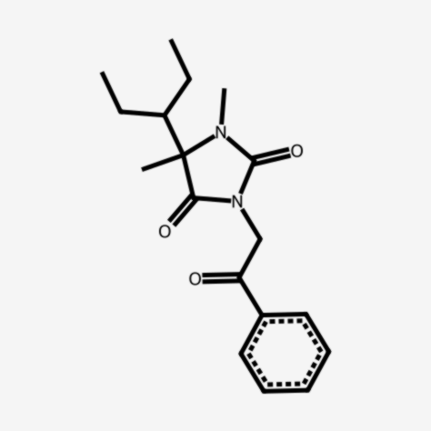 CCC(CC)C1(C)C(=O)N(CC(=O)c2ccccc2)C(=O)N1C